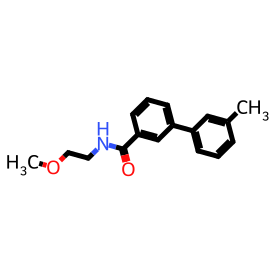 COCCNC(=O)c1cccc(-c2cccc(C)c2)c1